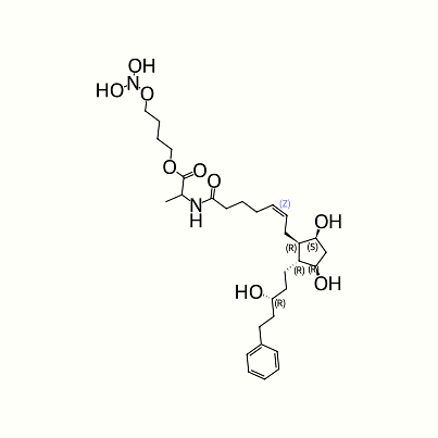 CC(NC(=O)CCC/C=C\C[C@@H]1[C@@H](CC[C@@H](O)CCc2ccccc2)[C@H](O)C[C@@H]1O)C(=O)OCCCCON(O)O